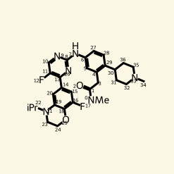 CNC(=O)Cc1cc(Nc2ncc(F)c(-c3cc(F)c4c(c3)N(C(C)C)CCO4)n2)ccc1C1CCN(C)CC1